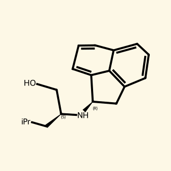 CC(C)C[C@@H](CO)N[C@@H]1Cc2cccc3cccc1c23